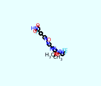 CC(C)Oc1cc2nc(C3CCN(CC(=O)N4CCC(c5ccc(C6(F)CCC(=O)NC6=O)cc5)CC4)CC3)cn2cc1NC(=O)c1cccc(C(F)(F)F)n1